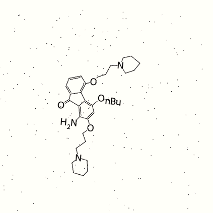 CCCCOc1cc(OCCCN2CCCCC2)c(N)c2c1-c1c(OCCCN3CCCCC3)cccc1C2=O